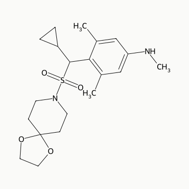 CNc1cc(C)c(C(C2CC2)S(=O)(=O)N2CCC3(CC2)OCCO3)c(C)c1